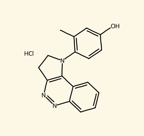 Cc1cc(O)ccc1N1CCc2nnc3ccccc3c21.Cl